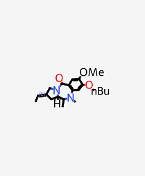 C/C=C1\C[C@H]2C(C)N(C)c3cc(OCCCC)c(OC)cc3C(=O)N2C1